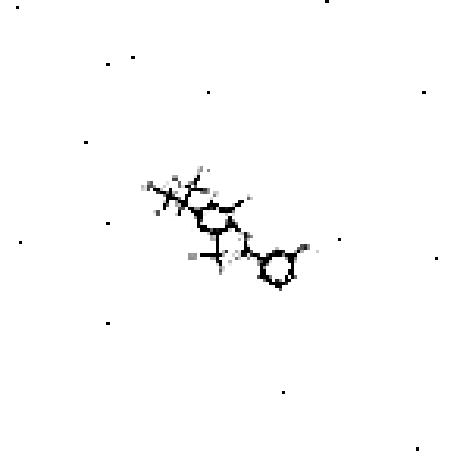 Nc1cccc(C(=O)Nc2c(I)cc(C(F)(C(F)(F)F)C(F)(F)F)cc2C(F)(F)F)c1